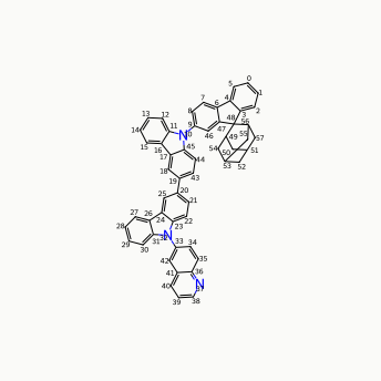 c1ccc2c(c1)-c1ccc(-n3c4ccccc4c4cc(-c5ccc6c(c5)c5ccccc5n6-c5ccc6ncccc6c5)ccc43)cc1C21C2CC3CC(C2)CC1C3